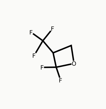 FC(F)(F)C1COC1(F)F